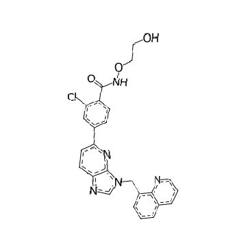 O=C(NOCCO)c1ccc(-c2ccc3ncn(Cc4cccc5cccnc45)c3n2)cc1Cl